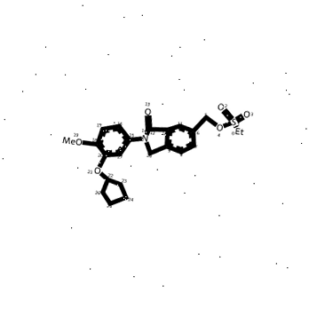 CCS(=O)(=O)OCc1ccc2c(c1)C(=O)N(c1ccc(OC)c(OC3CCCC3)c1)C2